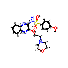 COc1ccc(S(=O)(=O)Nc2nc3ccccc3nc2OCCN2CCOCC2)cc1